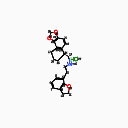 CN(CCc1cccc2c1OCC2)C[C@@H]1CCCc2c1ccc1c2OCO1.Cl